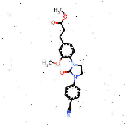 COC(=O)CCc1ccc(N2CCN(c3ccc(C#N)cc3)C2=O)c(OC)c1